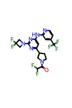 O=C(C(F)F)N1CCC(c2cc(Nc3cc(C(F)(F)F)ccn3)nc(N3CC(F)(F)C3)n2)C1